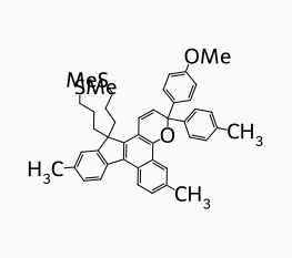 COc1ccc(C2(c3ccc(C)cc3)C=Cc3c4c(c5ccc(C)cc5c3O2)-c2ccc(C)cc2C4(CCCSC)CCCSC)cc1